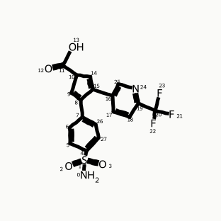 NS(=O)(=O)c1ccc(C2=CC(C(=O)O)C=C2c2ccc(C(F)(F)F)nc2)cc1